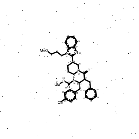 COCCCn1c([C@@H]2CCCN(C(=O)C(Cc3ccccc3)[C@@H](Cc3ccc(Cl)cc3)NC(=O)OC(C)(C)C)C2)nc2ccccc21